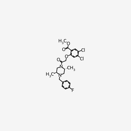 COC(=O)c1cc(Cl)c(Cl)cc1OCC(=O)N1C[C@H](C)N(Cc2ccc(F)cc2)C[C@H]1C